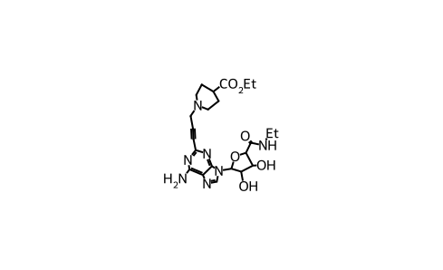 CCNC(=O)C1OC(n2cnc3c(N)nc(C#CCN4CCC(C(=O)OCC)CC4)nc32)C(O)C1O